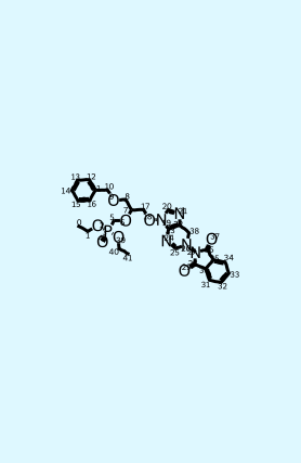 CCOP(=O)(COC(COCc1ccccc1)COn1cnc2c1N=CN(N1C(=O)c3ccccc3C1=O)C2)OCC